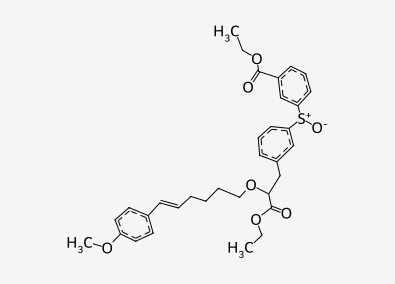 CCOC(=O)c1cccc([S+]([O-])c2cccc(CC(OCCCCC=Cc3ccc(OC)cc3)C(=O)OCC)c2)c1